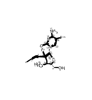 CC#CC1(F)C(O)[C@@H](CO)O[C@H]1n1cc(F)c(N)nc1=O